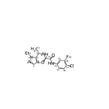 CCn1ncnc1C(C)NC(=O)C(=O)Nc1ccc(Cl)c(F)c1